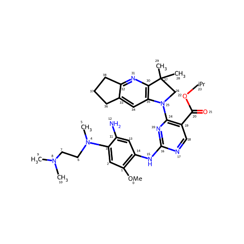 COc1cc(N(C)CCN(C)C)c(N)cc1Nc1ncc(C(=O)OC(C)C)c(N2CC(C)(C)c3nc4c(cc32)CCC4)n1